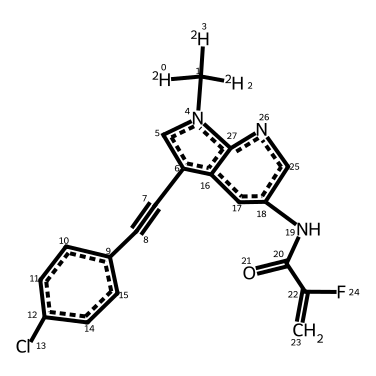 [2H]C([2H])([2H])n1cc(C#Cc2ccc(Cl)cc2)c2cc(NC(=O)C(=C)F)cnc21